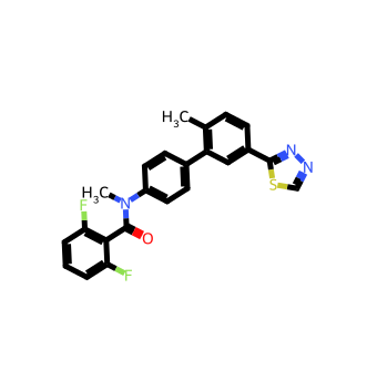 Cc1ccc(-c2nncs2)cc1-c1ccc(N(C)C(=O)c2c(F)cccc2F)cc1